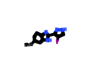 COc1ccc2nc(-c3n[nH]cc3I)[nH]c2c1